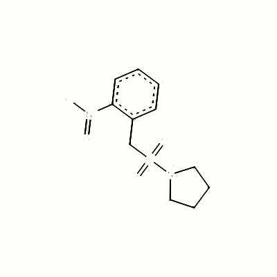 O=[N+]([O-])c1ccccc1CS(=O)(=O)N1CCCC1